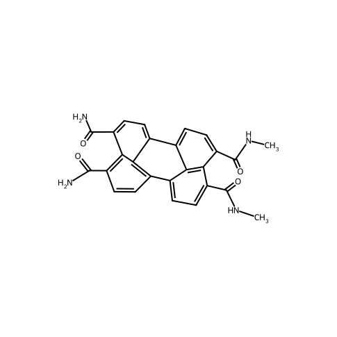 CNC(=O)c1ccc2c3ccc(C(N)=O)c4c(C(N)=O)ccc(c5ccc(C(=O)NC)c1c25)c43